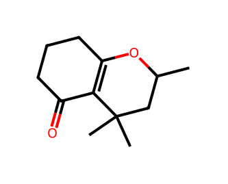 CC1CC(C)(C)C2=C(CCCC2=O)O1